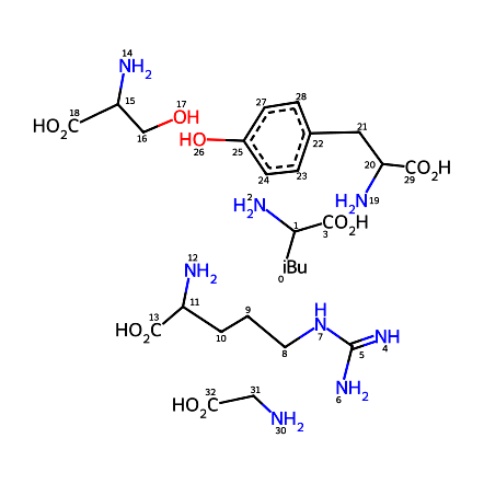 CCC(C)C(N)C(=O)O.N=C(N)NCCCC(N)C(=O)O.NC(CO)C(=O)O.NC(Cc1ccc(O)cc1)C(=O)O.NCC(=O)O